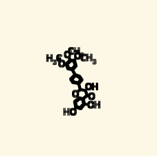 COc1cc(-c2ccc(C3Oc4cc(O)cc(O)c4C(=O)C3O)cc2)cc(OC)c1OC